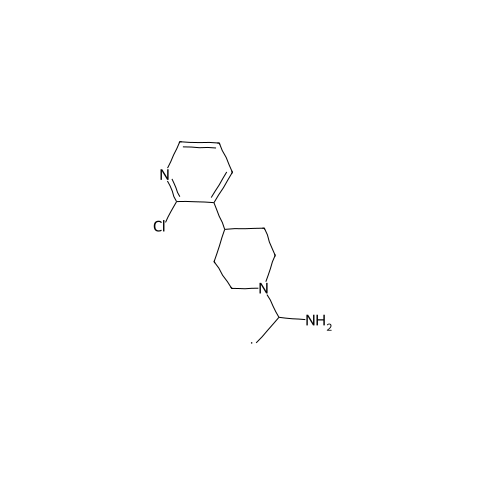 [CH2]C(N)N1CCC(c2cccnc2Cl)CC1